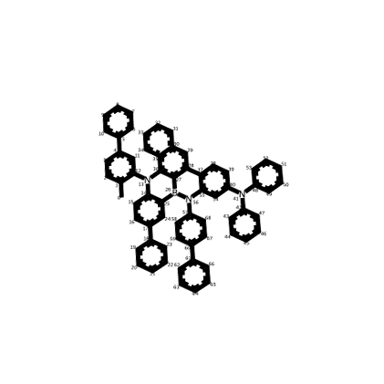 Cc1ccc(-c2ccccc2)cc1N1c2ccc(-c3ccccc3)cc2B2c3c(cc4ccccc4c31)-c1ccc(N(c3ccccc3)c3ccccc3)cc1N2c1ccc(-c2ccccc2)cc1